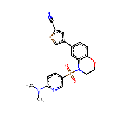 CN(C)c1ccc(S(=O)(=O)N2CCOc3ccc(-c4csc(C#N)c4)cc32)cn1